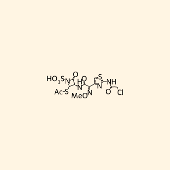 CON=C(C(=O)N[C@@H]1C(=O)N(S(=O)(=O)O)[C@@H]1SC(C)=O)c1csc(NC(=O)CCl)n1